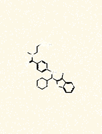 Cc1c(C(Nc2ccc(C(=O)N(C)CCC(=O)O)cc2)C2CCCCC2)sc2ccccc12